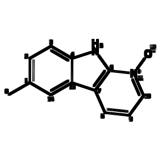 Cc1ccc2[nH]c3c(ccc[n+]3[O-])c2c1